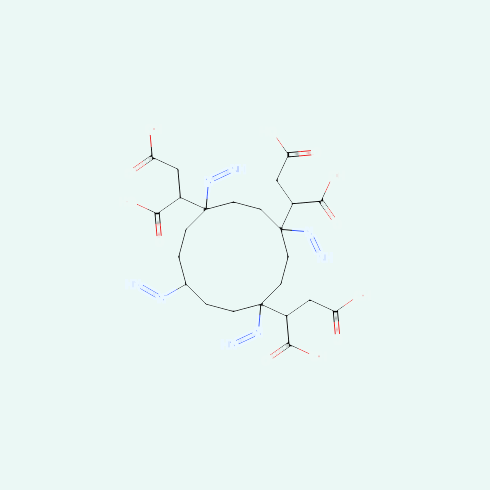 N=NC1CCC(N=N)(C(CC(=O)O)C(=O)O)CCC(N=N)(C(CC(=O)O)C(=O)O)CCC(N=N)(C(CC(=O)O)C(=O)O)CC1